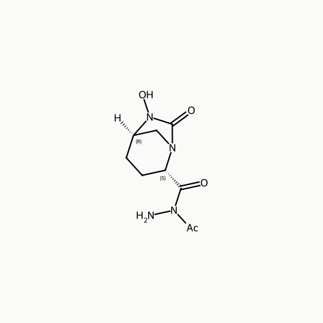 CC(=O)N(N)C(=O)[C@@H]1CC[C@@H]2CN1C(=O)N2O